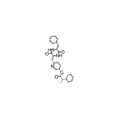 CC(C(=O)Oc1ccc(/C=c2\[nH]c(=O)/c(=C/c3ccccc3)[nH]c2=O)nc1)c1ccccc1